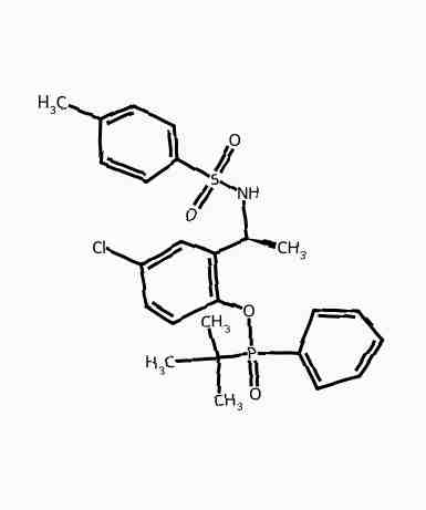 Cc1ccc(S(=O)(=O)N[C@@H](C)c2cc(Cl)ccc2OP(=O)(c2ccccc2)C(C)(C)C)cc1